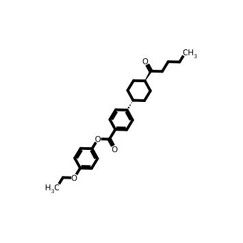 CCCCC(=O)[C@H]1CC[C@H](c2ccc(C(=O)Oc3ccc(OCC)cc3)cc2)CC1